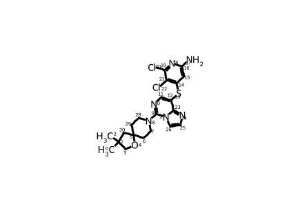 CC1(C)COC2(CCN(c3ncc(Sc4cc(N)nc(Cl)c4Cl)c4nccn34)CC2)C1